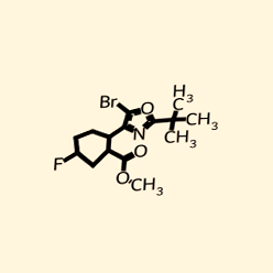 COC(=O)C1CC(F)CCC1c1nc(C(C)(C)C)oc1Br